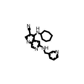 N#Cc1cnc2cnc(NCc3cccnc3)cc2c1NC1CCCCCC1